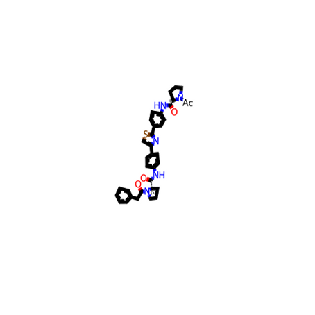 CC(=O)N1CCC[C@H]1C(=O)Nc1ccc(-c2nc(-c3ccc(NC(=O)[C@@H]4CCCN4C(=O)Cc4ccccc4)cc3)cs2)cc1